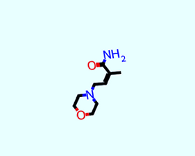 CC(=CCN1CCOCC1)C(N)=O